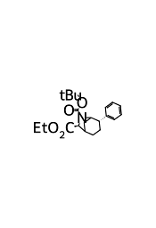 CCOC(=O)[C@@H]1C2CC[C@@H](c3ccccc3)C(C2)N1C(=O)OC(C)(C)C